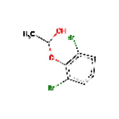 CC(O)Oc1c(Br)cccc1Br